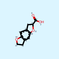 O=C(O)C1Cc2cc3c(cc2O1)CCO3